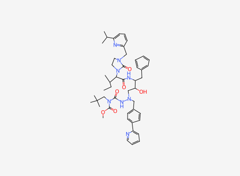 CCC(C)C(C(=O)NC(Cc1ccccc1)C(O)CN(Cc1ccc(-c2ccccn2)cc1)NC(=O)N(CC(C)(C)C)C(=O)OC)N1CCN(Cc2cccc(C(C)C)n2)C1=O